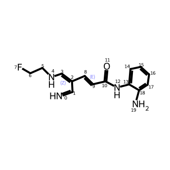 N=CC(=C\NCCF)/C=C/C(=O)Nc1ccccc1N